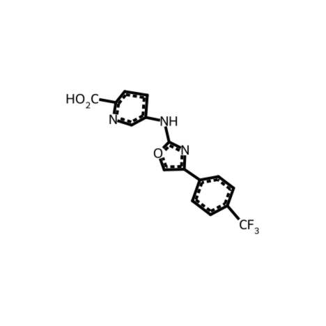 O=C(O)c1ccc(Nc2nc(-c3ccc(C(F)(F)F)cc3)co2)cn1